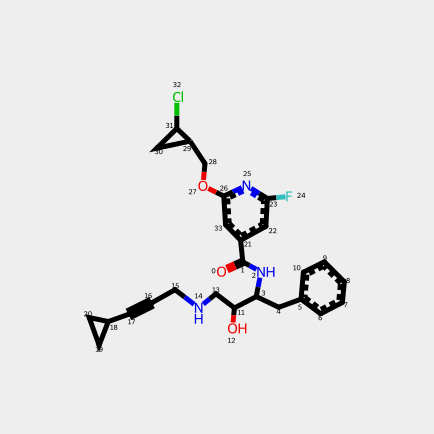 O=C(NC(Cc1ccccc1)C(O)CNCC#CC1CC1)c1cc(F)nc(OCC2CC2Cl)c1